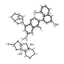 Oc1cc(-c2ncc3c(N4CC5CCC(C4)N5)nc(OC[C@@]45C[C@H](F)CN4[C@@H]4CCCC[C@@H]4C5)nc3c2F)c2c(Cl)cccc2c1